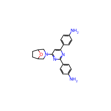 Nc1ccc(-c2cc(N3CC4CCC(C3)O4)nc(-c3ccc(N)cc3)n2)cc1